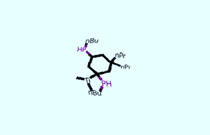 CCCCPC1CC(CCC)(CCC)C[C](PCCCC)([Ti]([CH3])[CH3])C1